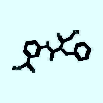 COC(=O)c1cccc(NC(=O)N(Cc2ccccc2)C(=O)CC#N)c1